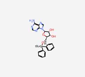 CC(C)(C)[Si](O[SiH2][C@H]1O[C@@H](n2cnc3c(N)ncnc32)[C@H](O)[C@@H]1O)(c1ccccc1)c1ccccc1